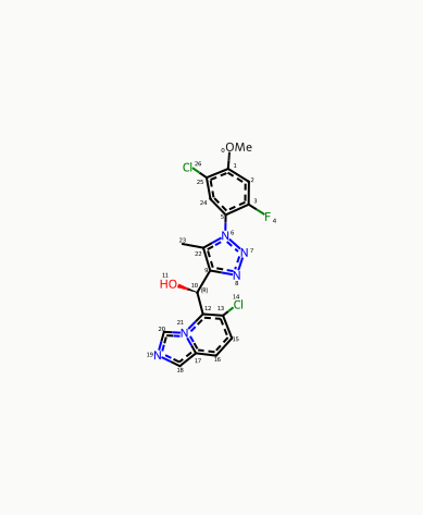 COc1cc(F)c(-n2nnc([C@H](O)c3c(Cl)ccc4cncn34)c2C)cc1Cl